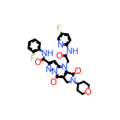 O=C(Cn1c2c(c(=O)n3nc(C(=O)Nc4ccccc4F)cc13)CN(C1CCOCC1)C2=O)Nc1ccc(F)cn1